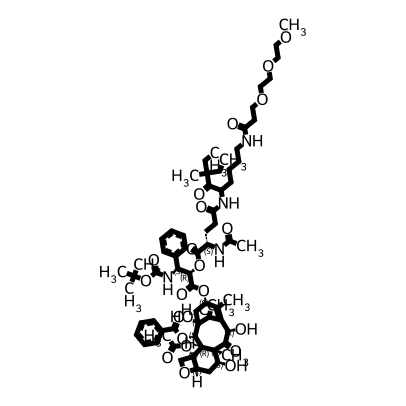 CCC(C)(CC)C(=O)C(CCCCNC(=O)CCOCCOCCOC)NC(=O)CC[C@H](NC(C)=O)C(=O)O[C@@H](C(=O)O[C@H]1C[C@@]2(O)[C@@H](OC(=O)c3ccccc3)[C@@H]3[C@]4(OC(C)=O)CO[C@@H]4C[C@H](O)[C@@]3(C)C(=O)[C@H](O)C(=C1C)C2(C)C)[C@@H](NC(=O)OC(C)(C)C)c1ccccc1